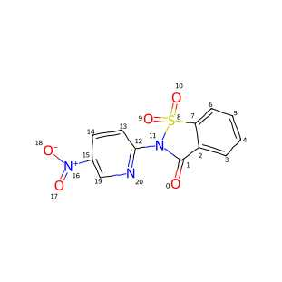 O=C1c2ccccc2S(=O)(=O)N1c1ccc([N+](=O)[O-])cn1